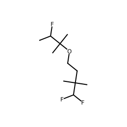 CC(F)C(C)(C)OCCC(C)(C)C(F)F